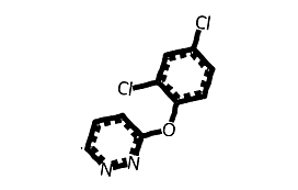 Clc1ccc(Oc2cc[c]nn2)c(Cl)c1